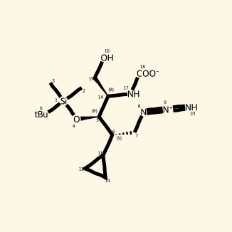 CC(C)(C)[Si](C)(C)O[C@H]([C@H](CN=[N+]=N)C1CC1)[C@@H](CO)NC(=O)[O-]